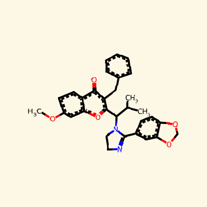 COc1ccc2c(=O)c(Cc3ccccc3)c(C(C(C)C)N3CCN=C3c3ccc4c(c3)OCO4)oc2c1